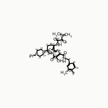 Cc1cc(CNC(=O)c2nc3n(c(=O)c2O)CC2(N4CCN(C(C)C)CC4)CCC3(NC(=O)C(=O)N(C)C)CC2)ccc1F